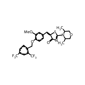 COc1cc(C=C2SC(N3C(C)COCC3C)=NC2=O)ccc1OCc1ccc(C(F)(F)F)cc1C(F)(F)F